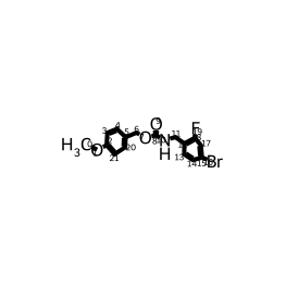 COc1ccc(COC(=O)NCc2ccc(Br)cc2F)cc1